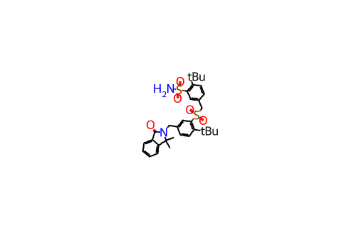 CC(C)(C)c1ccc(CS(=O)(=O)c2cc(CN3C(=O)c4ccccc4C3(C)C)ccc2C(C)(C)C)cc1S(N)(=O)=O